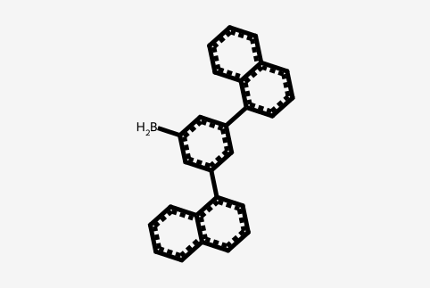 Bc1cc(-c2cccc3ccccc23)cc(-c2cccc3ccccc23)c1